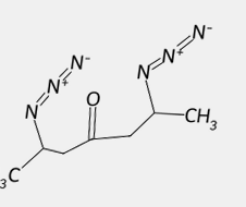 CC(CC(=O)CC(C)N=[N+]=[N-])N=[N+]=[N-]